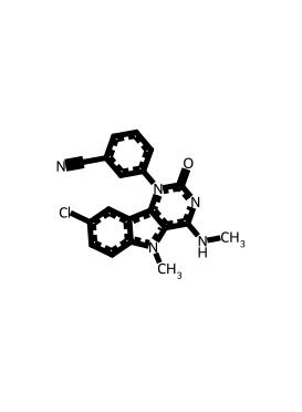 CNc1nc(=O)n(-c2cccc(C#N)c2)c2c3cc(Cl)ccc3n(C)c12